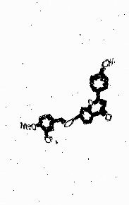 COc1ccc(COc2ccc3c(=O)cc(-c4ccc(O)cc4)oc3c2)cc1C(F)(F)F